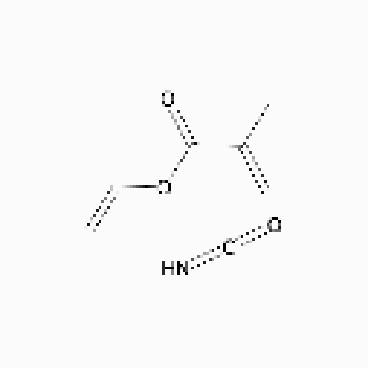 C=COC(=O)C(=C)C.N=C=O